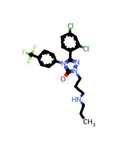 CCCNCCCn1nc(-c2ccc(Cl)cc2Cl)n(-c2ccc(C(F)(F)F)cc2)c1=O